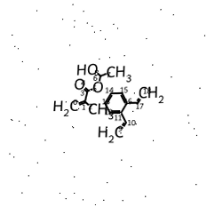 C=C(C)C(=O)OC(C)O.C=Cc1ccccc1C=C